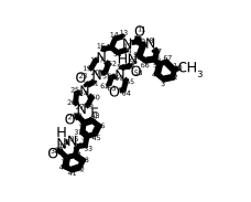 Cc1cccc(-c2cnc(C(=O)N3CCC(CN4CCN(CC(=O)N5CCN(C(=O)c6cc(Cc7n[nH]c(=O)c8ccccc78)ccc6F)CC5)CC4)CC3)c(NC(=O)CN3CCOCC3)c2)c1